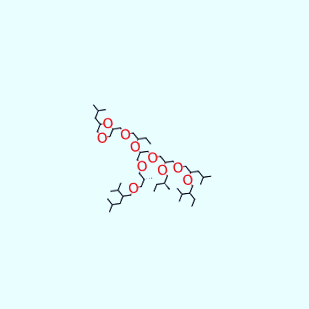 CCC(COCC1COCC(CC(C)C)O1)OC(COCC(COCC(CC(C)C)OCC(CC)C(C)C)OC[C@@H](C)CC)COC[C@H](C)COCC(CC(C)C)C(C)C